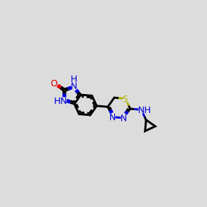 O=c1[nH]c2ccc(C3=NN=C(NC4CC4)SC3)cc2[nH]1